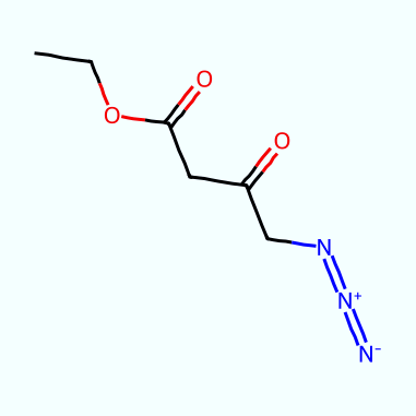 CCOC(=O)CC(=O)CN=[N+]=[N-]